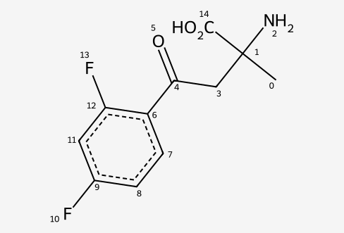 CC(N)(CC(=O)c1ccc(F)cc1F)C(=O)O